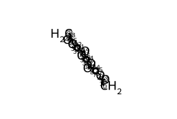 C=CC(=O)COc1ccc(C(=O)Oc2ccc(OC(=O)c3ccc(OCC(=O)C=C)cc3)cc2)cc1